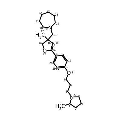 CC1CCCN1CCCOc1ccc(C2=NC(C)(CN3CCCCCC3)CO2)cn1